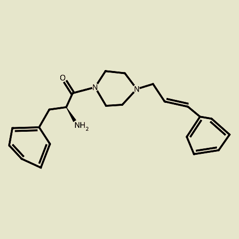 N[C@@H](Cc1ccccc1)C(=O)N1CCN(C/C=C/c2ccccc2)CC1